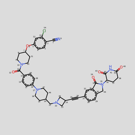 N#Cc1ccc(OC2CCN(C(=O)c3ccc(N4CCC(CN5CC(C#Cc6ccc7c(c6)C(=O)N(C6CCC(=O)NC6=O)C7)C5)CC4)cc3)CC2)cc1Cl